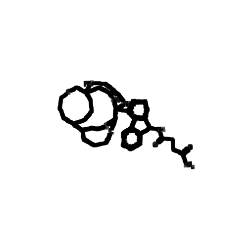 NC(=O)CCC(=O)NC1c2ccccc2-c2c1cccc2C12NC3CNC4(CCCCCC(CCC4)C4CCCCC1CCC4)CC3N2